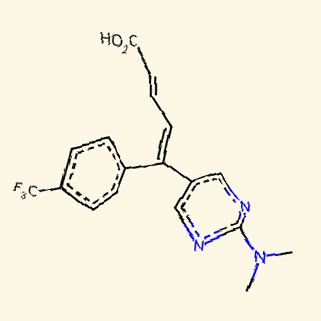 CN(C)c1ncc(/C(=C/C=C/C(=O)O)c2ccc(C(F)(F)F)cc2)cn1